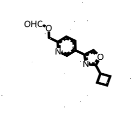 O=COCc1ccc(-c2coc(C3CCC3)n2)cn1